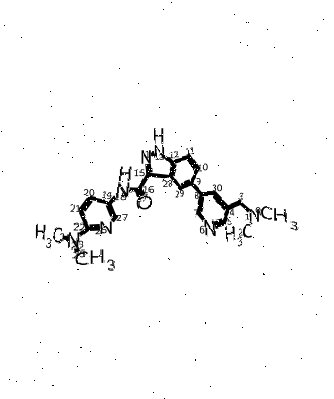 CN(C)Cc1cncc(-c2ccc3[nH]nc(C(=O)Nc4ccc(N(C)C)nc4)c3c2)c1